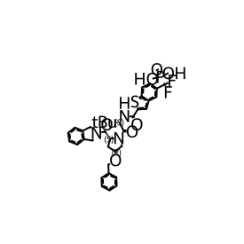 CC(C)(C)[C@H](NC(=O)c1cc2cc(C(F)(F)P(=O)(O)O)ccc2s1)C(=O)N1C[C@H](OCc2ccccc2)C[C@H]1C(=O)N1Cc2ccccc2C1